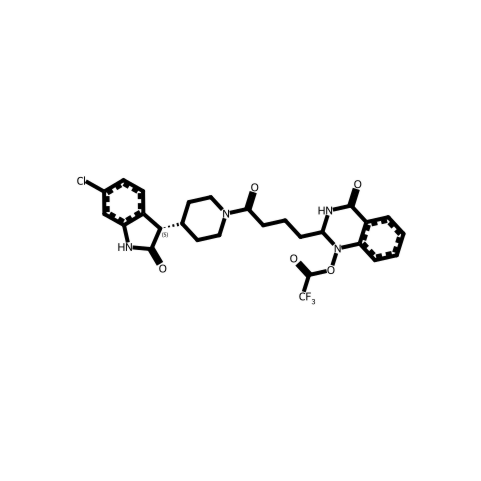 O=C1NC(CCCC(=O)N2CCC([C@@H]3C(=O)Nc4cc(Cl)ccc43)CC2)N(OC(=O)C(F)(F)F)c2ccccc21